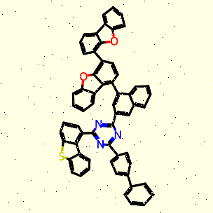 c1ccc(-c2ccc(-c3nc(-c4cc(-c5ccc(-c6cccc7c6oc6ccccc67)c6oc7ccccc7c56)c5ccccc5c4)nc(-c4cccc5sc6ccccc6c45)n3)cc2)cc1